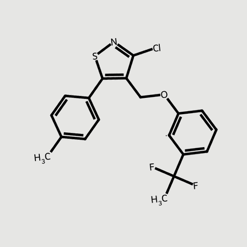 Cc1ccc(-c2snc(Cl)c2COc2[c]c(C(C)(F)F)ccc2)cc1